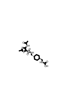 CC(=O)Nc1nc(C)sc1S(=O)(=O)NC[C@H]1CC[C@H](CNC(=O)O)CC1